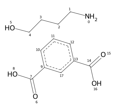 NCCCCO.O=C(O)c1cccc(C(=O)O)c1